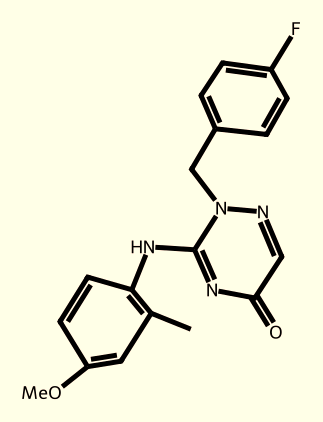 COc1ccc(Nc2nc(=O)cnn2Cc2ccc(F)cc2)c(C)c1